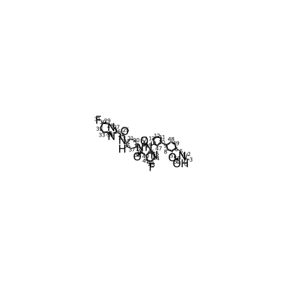 CC(C)(C)N(Cc1ccc(-c2cccc(-n3c(=O)n([C@H]4CC[C@@H](NC(=O)c5cn6cc(F)ccc6n5)CC4)c(=O)c4cc(F)cnc43)c2)cc1)C(=O)O